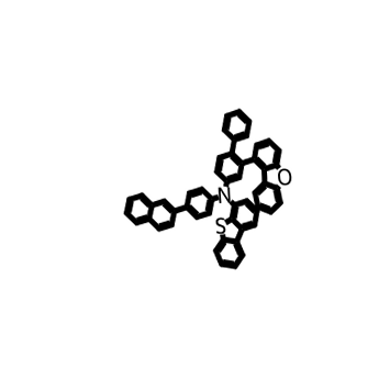 c1ccc(-c2ccc(N(c3ccc(-c4ccc5ccccc5c4)cc3)c3cccc4c3sc3ccccc34)cc2-c2cccc3oc4ccccc4c23)cc1